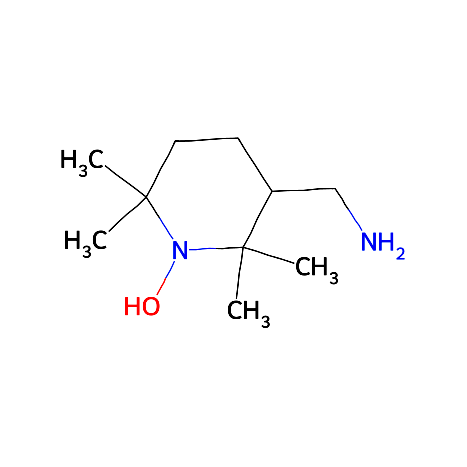 CC1(C)CCC(CN)C(C)(C)N1O